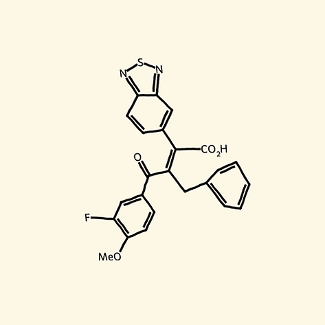 COc1ccc(C(=O)/C(Cc2ccccc2)=C(/C(=O)O)c2ccc3nsnc3c2)cc1F